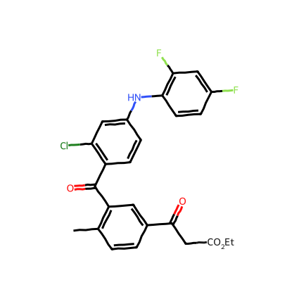 CCOC(=O)CC(=O)c1ccc(C)c(C(=O)c2ccc(Nc3ccc(F)cc3F)cc2Cl)c1